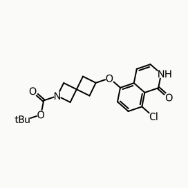 CC(C)(C)OC(=O)N1CC2(CC(Oc3ccc(Cl)c4c(=O)[nH]ccc34)C2)C1